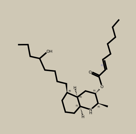 CCCCC/C=C/C(=O)O[C@H]1C[C@@H]2[C@H](CCCCC(O)CCC)CCC[C@@H]2N[C@@H]1C